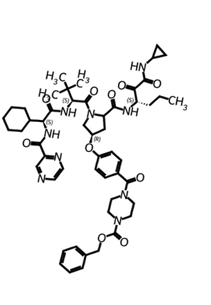 CCC[C@H](NC(=O)C1C[C@@H](Oc2ccc(C(=O)N3CCN(C(=O)OCc4ccccc4)CC3)cc2)CN1C(=O)[C@@H](NC(=O)[C@@H](NC(=O)c1cnccn1)C1CCCCC1)C(C)(C)C)C(=O)C(=O)NC1CC1